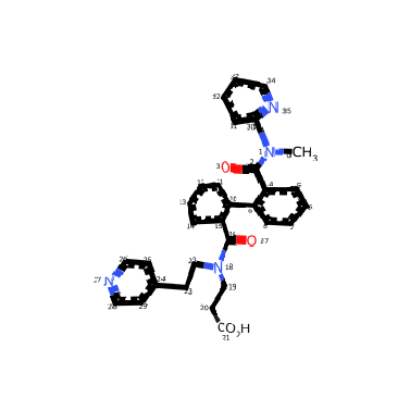 CN(C(=O)c1ccccc1-c1ccccc1C(=O)N(CCC(=O)O)CCc1ccncc1)c1ccccn1